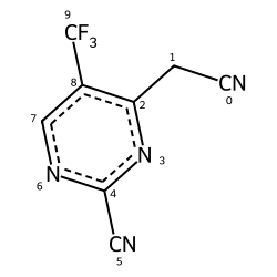 N#CCc1nc(C#N)ncc1C(F)(F)F